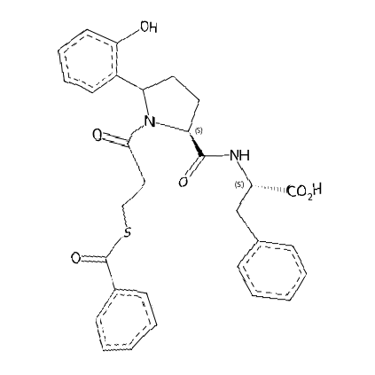 O=C(SCCC(=O)N1C(c2ccccc2O)CC[C@H]1C(=O)N[C@@H](Cc1ccccc1)C(=O)O)c1ccccc1